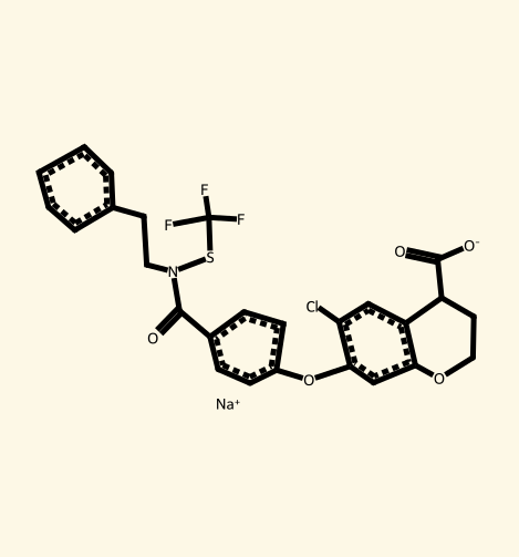 O=C([O-])C1CCOc2cc(Oc3ccc(C(=O)N(CCc4ccccc4)SC(F)(F)F)cc3)c(Cl)cc21.[Na+]